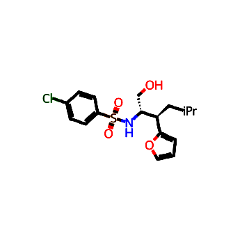 CC(C)C[C@@H](c1ccco1)[C@@H](CO)NS(=O)(=O)c1ccc(Cl)cc1